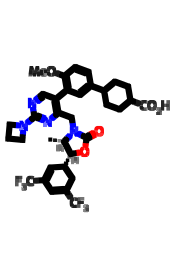 COc1ccc(C2CCC(C(=O)O)CC2)cc1-c1cnc(N2CCC2)nc1CN1C(=O)O[C@H](C2C=C(C(F)(F)F)C=C(C(F)(F)F)C2)[C@@H]1C